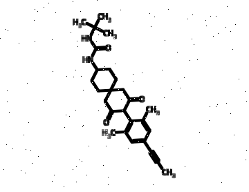 CC#Cc1cc(C)c(C2C(=O)CC3(CCC(NC(=O)NC(C)(C)C)CC3)CC2=O)c(C)c1